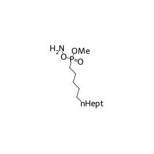 CCCCCCCCCCCCP(=O)(OC)ON